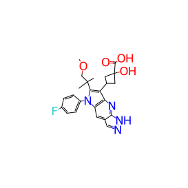 COCC(C)(C)c1c(C2CC(O)(C(=O)O)C2)c2nc3[nH]ncc3cc2n1-c1ccc(F)cc1